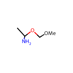 COCOC(C)N